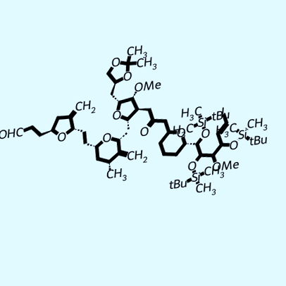 C=C1C[C@H](CCC=O)O[C@H]1CC[C@H]1C[C@@H](C)C(=C)[C@@H](C[C@@H]2O[C@H](C[C@H]3COC(C)(C)O3)[C@H](OC)[C@H]2CC(=O)CC2CCC[C@@H](C(O[Si](C)(C)C(C)(C)C)C(O[Si](C)(C)C(C)(C)C)C(OC)C(/C=C/I)O[Si](C)(C)C(C)(C)C)O2)O1